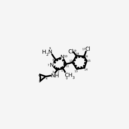 Cc1c(NC2CC2)nc(N)nc1-c1cccc(Cl)c1Cl